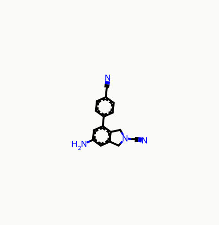 N#Cc1ccc(-c2cc(N)cc3c2CN(C#N)C3)cc1